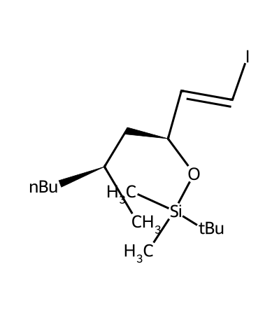 CCCC[C@H](C)C[C@@H](/C=C/I)O[Si](C)(C)C(C)(C)C